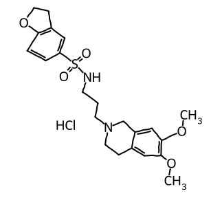 COc1cc2c(cc1OC)CN(CCCNS(=O)(=O)c1ccc3c(c1)CCO3)CC2.Cl